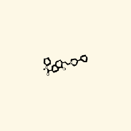 CN(C(=O)c1ccc2c(c1)CCC(CCN1CCC(c3ccccc3)CC1)C2=O)c1ccccc1